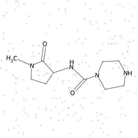 CN1CCC(NC(=O)N2CCNCC2)C1=O